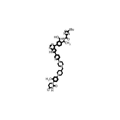 Cc1cc(N2CCC(CN3CCN(c4ccc(-c5cc6c(-c7ccc(C(C)NC(=O)c8noc(C(C)(C)C)n8)c(CO)c7)ncnc6[nH]5)cn4)CC3)CC2)ccc1N1CCC(=O)NC1=O